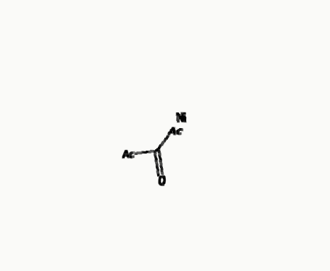 CC(=O)C(=O)C(C)=O.[Ni]